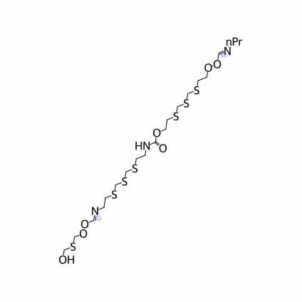 CCC/N=C/OOCCSCSCSCCOC(=O)NCCSCSCSCC/N=C/OOCSCO